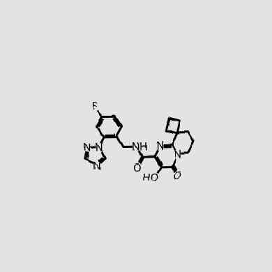 O=C(NCc1ccc(F)cc1-n1cncn1)c1nc2n(c(=O)c1O)CCCC21CCC1